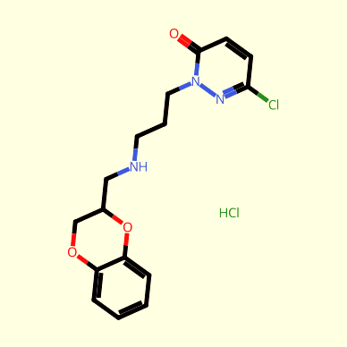 Cl.O=c1ccc(Cl)nn1CCCNCC1COc2ccccc2O1